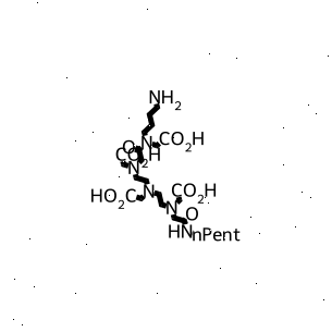 CCCCCNC(=O)CN(CCN(CCN(CC(=O)O)CC(=O)N(CCCCN)CC(=O)O)CC(=O)O)CC(=O)O